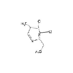 CC(=O)OCc1ncc(C)c(Cl)c1Cl